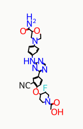 N#Cc1cc(-c2ncnc(Nc3ccc(N4CCOC(C(N)=O)C4)cc3)n2)ccc1OC1CCN(C(=O)CO)CC1F